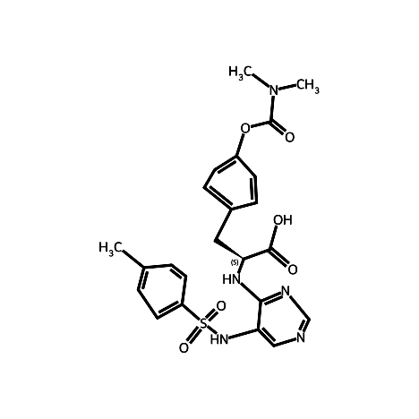 Cc1ccc(S(=O)(=O)Nc2cncnc2N[C@@H](Cc2ccc(OC(=O)N(C)C)cc2)C(=O)O)cc1